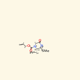 C=CCOC(=O)N1CC(=O)N=C(SC)[C@@H]1CC(C)C